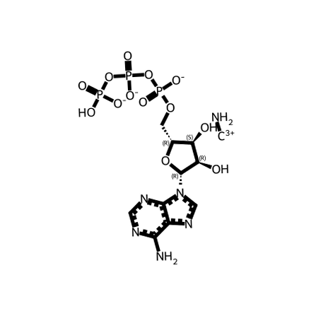 Nc1ncnc2c1ncn2[C@@H]1O[C@H](COP(=O)([O-])OP(=O)([O-])OP(=O)([O-])O)[C@@H](O)[C@H]1O.[C+3]N